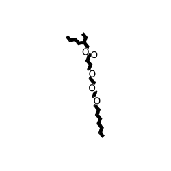 CCCCCCCCOCCOCCOCCCC(=O)OCC(CC)CCCC